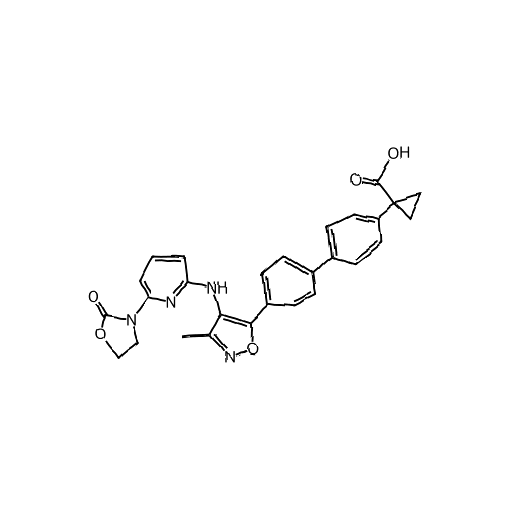 Cc1noc(-c2ccc(-c3ccc(C4(C(=O)O)CC4)cc3)cc2)c1Nc1cccc(N2CCOC2=O)n1